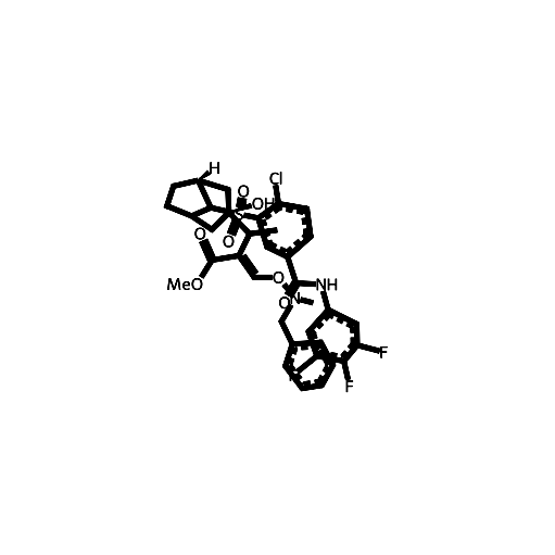 COC(=O)/C(=C/ON(C)Cc1ccccc1)C(C)[C@]1(O)CC2CC[C@H](C1)C2S(=O)(=O)c1cc(C(=O)Nc2cc(F)c(F)c(F)c2)ccc1Cl